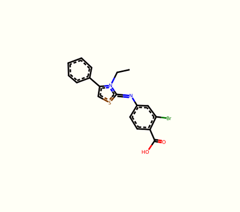 CCn1c(-c2ccccc2)cs/c1=N\c1ccc(C(=O)O)c(Br)c1